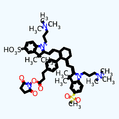 CC1(C)C(/C=C/C2=C(c3ccc(CCC(=O)ON4C(=O)CCC4=O)cc3)C(=C/C=C3/N(CCC[N+](C)(C)C)c4ccc(S(C)(=O)=O)cc4C3(C)C)/CCC2)=[N+](CCC[N+](C)(C)C)c2ccc(S(=O)(=O)O)cc21